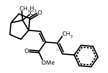 COC(=O)C(=CC12CCC(CC1=O)C2(C)C)/C(C)=C/c1ccccc1